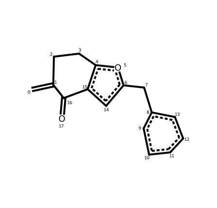 C=C1CCc2oc(Cc3ccccc3)cc2C1=O